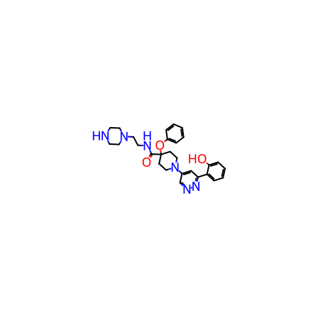 O=C(NCCN1CCNCC1)C1(Oc2ccccc2)CCN(c2cnnc(-c3ccccc3O)c2)CC1